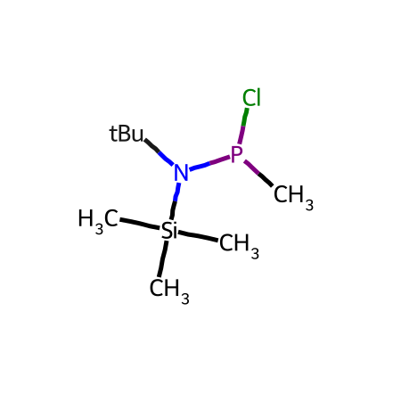 CP(Cl)N(C(C)(C)C)[Si](C)(C)C